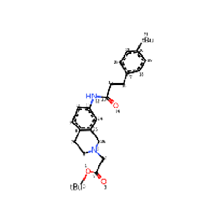 CC(C)(C)OC(=O)CN1CCc2ccc(NC(=O)CCc3ccc(C(C)(C)C)cc3)cc2C1